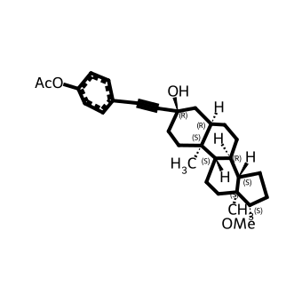 CO[C@H]1CC[C@H]2[C@@H]3CC[C@@H]4C[C@@](O)(C#Cc5ccc(OC(C)=O)cc5)CC[C@]4(C)[C@H]3CC[C@]12C